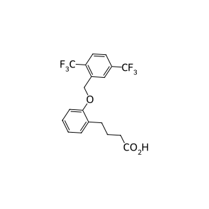 O=C(O)CCCc1ccccc1OCc1cc(C(F)(F)F)ccc1C(F)(F)F